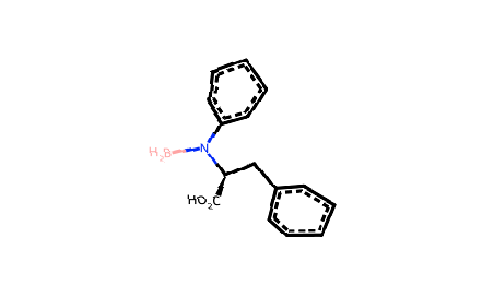 BN(c1ccccc1)[C@@H](Cc1ccccc1)C(=O)O